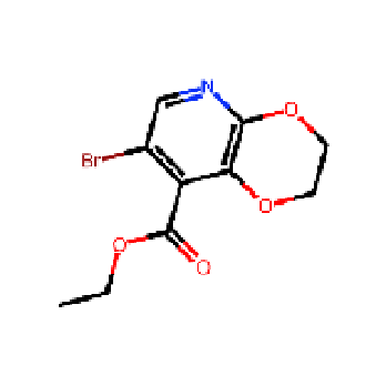 CCOC(=O)c1c(Br)cnc2c1OCCO2